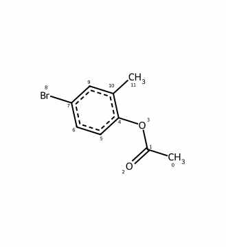 CC(=O)Oc1ccc(Br)cc1C